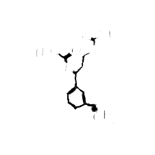 C=Cc1cccc(C(CCOC(C)=O)OC(C)=O)c1